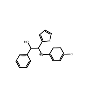 OC(c1ccccc1)C(NC1=CC=C(Cl)CC1)c1cccs1